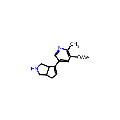 COc1cc(C2=CCC3CNCC23)cnc1C